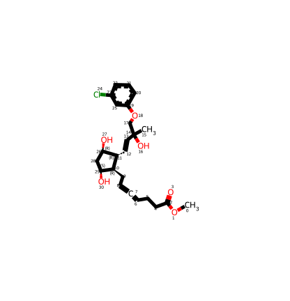 COC(=O)CCC=C=CC[C@@H]1[C@@H](C=CC(C)(O)COc2cccc(Cl)c2)[C@H](O)C[C@@H]1O